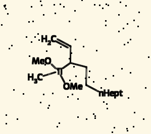 C=C[CH](CCCCCCCCC)[Ti]([CH3])([O]C)[O]C